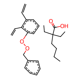 C=Cc1cccc(OOCc2ccccc2)c1C=C.CCCCC(CC)(CC)C(=O)O